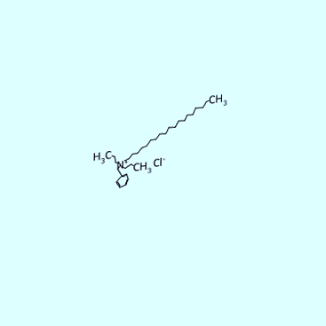 CCCCCCCCCCCCCCCCCCCC[N+](CCC)(CCC)Cc1ccccc1.[Cl-]